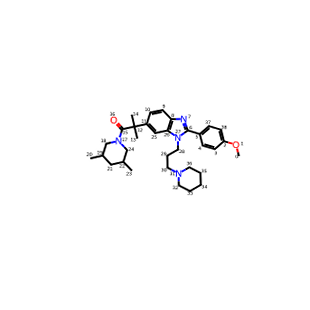 COc1ccc(-c2nc3ccc(C(C)(C)C(=O)N4CC(C)CC(C)C4)cc3n2CCCN2CCCCC2)cc1